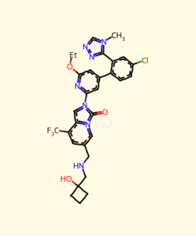 CCOc1cc(-c2ccc(Cl)cc2-c2nncn2C)cc(-n2cc3c(C(F)(F)F)cc(CNCC4(O)CCC4)cn3c2=O)n1